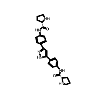 O=C(Nc1ccc(-c2cc(-c3ccc(NC(=O)[C@@H]4CCCN4)cc3)[nH]n2)cc1)[C@@H]1CCCN1